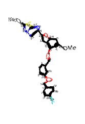 COc1cc(OCc2cccc(OCc3ccc(F)cc3)c2)c2cc(-c3cn4nc(OC)sc4n3)oc2c1